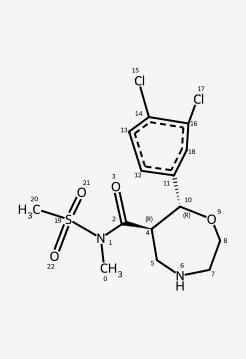 CN(C(=O)[C@@H]1CNCCO[C@H]1c1ccc(Cl)c(Cl)c1)S(C)(=O)=O